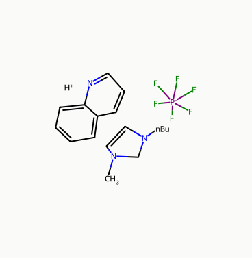 CCCCN1C=CN(C)C1.F[P-](F)(F)(F)(F)F.[H+].c1ccc2ncccc2c1